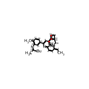 C\C=C(/C=C\C(=N\C(=C/C(C)=C1CCC1)c1ccc(C)c(/N=C(/C)C(C)CC)c1)C(C)CC)N1CCN(CCC)CC1